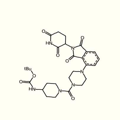 CC(C)(C)OC(=O)NC1CCN(C(=O)N2CCN(c3cccc4c3C(=O)N(C3CCC(=O)NC3=O)C4=O)CC2)CC1